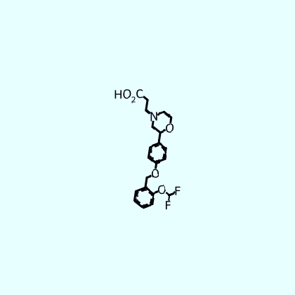 O=C(O)CCN1CCOC(c2ccc(OCc3ccccc3OC(F)F)cc2)C1